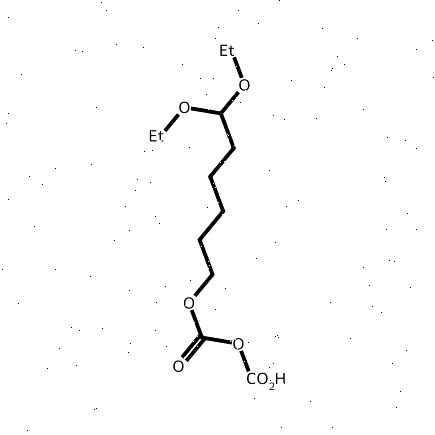 CCOC(CCCCCOC(=O)OC(=O)O)OCC